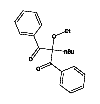 CCCCC(OCC)(C(=O)c1ccccc1)C(=O)c1ccccc1